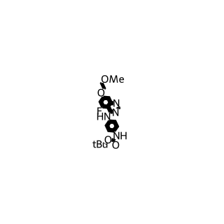 COCCOc1cc(F)c2c(Nc3ccc(NC(=O)OC(C)(C)C)cc3)ncnc2c1